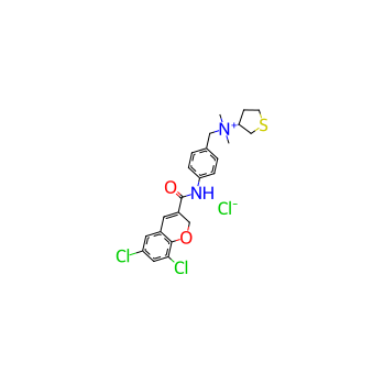 C[N+](C)(Cc1ccc(NC(=O)C2=Cc3cc(Cl)cc(Cl)c3OC2)cc1)C1CCSC1.[Cl-]